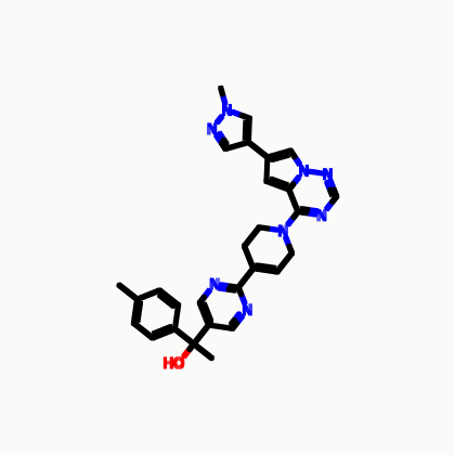 Cc1ccc(C(C)(O)c2cnc(C3=CCN(c4ncnn5cc(-c6cnn(C)c6)cc45)CC3)nc2)cc1